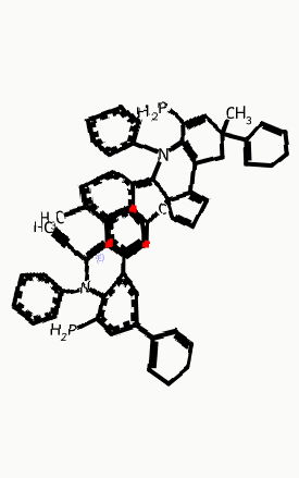 C#C/C(=c1/ccc2c3c(ccc(C)c13)=C1N(c3ccccc3)C3=C(CC(C)(C4=CCCC=C4)C=C3P)C3=CC=CC31C2)N(c1ccccc1)c1c(P)cc(C2=CCCC=C2)cc1C1=CC=CCC1